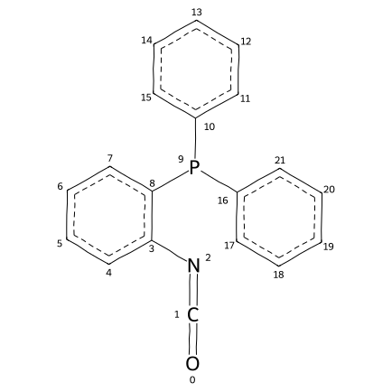 O=C=Nc1ccccc1P(c1ccccc1)c1ccccc1